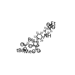 CCS(=O)(=O)N1CCC(Nc2cccc(-c3sc(C(=O)OC)c(OCC(=O)OC(C)(C)C)c3Br)c2)CC1